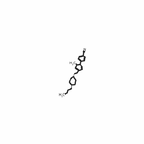 CCCC[C@H]1CC[C@H](CCc2ccc(-c3ccc(C#N)cc3)c(C)c2)CC1